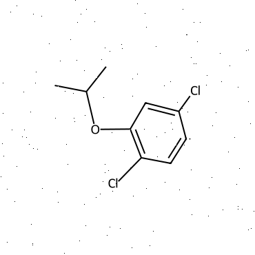 CC(C)Oc1cc(Cl)[c]cc1Cl